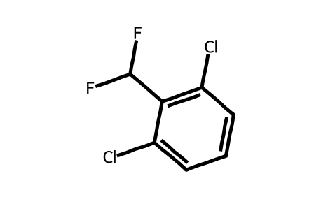 FC(F)c1c(Cl)cccc1Cl